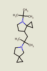 CC(C)(C)N1CCC(CC(C)(C)N2CCC3(CC3)C2)C12CC2